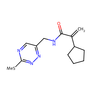 C=C(C(=O)NCc1cnc(SC)nn1)C1CCCC1